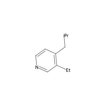 CCc1cnccc1CC(C)C